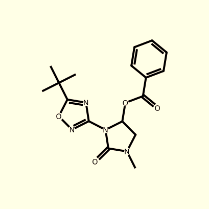 CN1CC(OC(=O)c2ccccc2)N(c2noc(C(C)(C)C)n2)C1=O